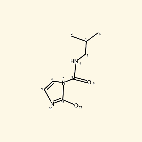 CC(C)CNC(=O)n1ccnc1[O]